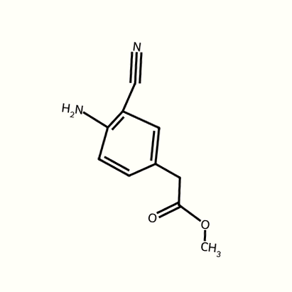 COC(=O)Cc1ccc(N)c(C#N)c1